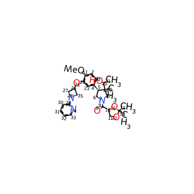 COc1ccc([C@@H]2CN(C(=O)[C@@H]3COC(C)(C)O3)C[C@@]2(C)C(C)O)cc1OC1CN(c2ccccn2)C1